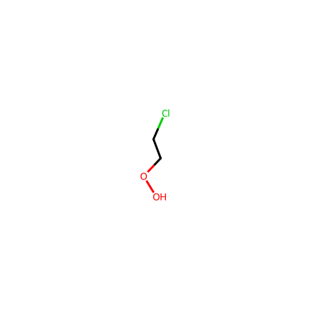 OOCCCl